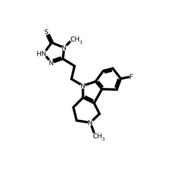 CN1CCc2c(c3cc(F)ccc3n2CCc2n[nH]c(=S)n2C)C1